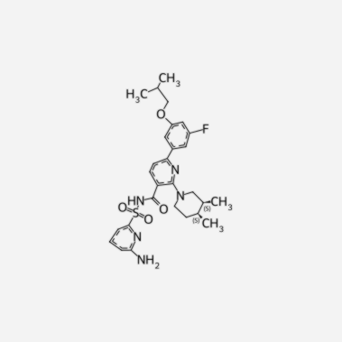 CC(C)COc1cc(F)cc(-c2ccc(C(=O)NS(=O)(=O)c3cccc(N)n3)c(N3CC[C@H](C)[C@H](C)C3)n2)c1